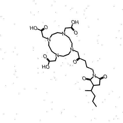 CCCC(C)C1CC(=O)N(CCCC(=O)CN2CCN(CC(=O)O)CCN(CC(=O)O)CCN(CC(=O)O)CC2)C1=O